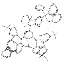 CC(C)(C)c1ccc(N2c3cc(-c4ccccc4)ccc3B3c4ccc(C(C)(C)C)cc4N(c4ccc(C(C)(C)C)cc4-c4ccccc4)c4cc(N5c6ccc(C(Cc7ccccc7)(c7ccccc7)c7ccccc7)cc6C6(C)CCCCC56C)cc2c43)c(-c2ccccc2)c1